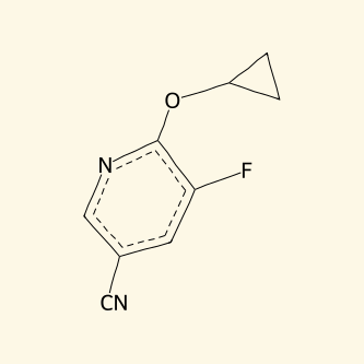 N#Cc1cnc(OC2CC2)c(F)c1